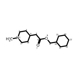 CN1CCC(CC(=O)OCC2CCCCC2)CC1